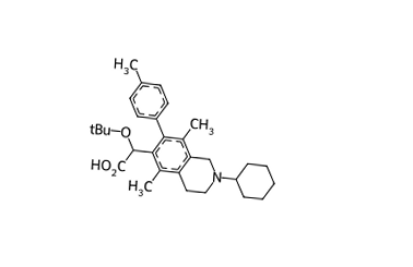 Cc1ccc(-c2c(C)c3c(c(C)c2C(OC(C)(C)C)C(=O)O)CCN(C2CCCCC2)C3)cc1